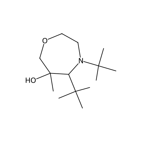 CC(C)(C)C1N(C(C)(C)C)CCOCC1(C)O